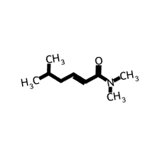 CC(C)C/C=C/C(=O)N(C)C